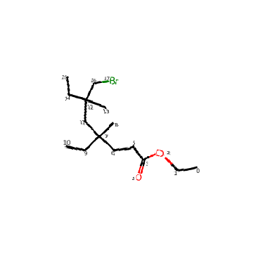 CCOC(=O)CCC(C)(CC)CC(C)(CC)CBr